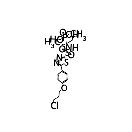 CCC(CC)(NS(=O)(=O)c1nnc(-c2ccc(OCCCCl)cc2)s1)P(=O)(O)O